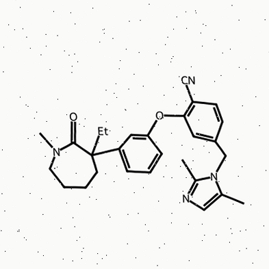 CCC1(c2cccc(Oc3cc(Cn4c(C)cnc4C)ccc3C#N)c2)CCCCN(C)C1=O